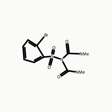 CNC(=O)N(C(=O)NC)S(=O)(=O)c1ccccc1Br